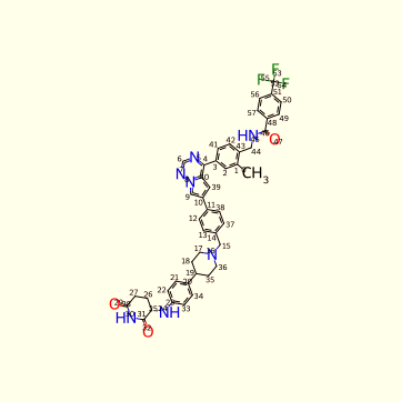 Cc1cc(-c2ncnn3cc(-c4ccc(CN5CCC(c6ccc(N[C@H]7CCC(=O)NC7=O)cc6)CC5)cc4)cc23)ccc1CNC(=O)c1ccc(C(F)(F)F)cc1